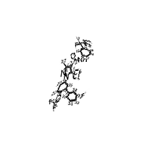 CCc1c(C(=O)Nc2cccc(C(C)(F)F)c2)c(C)nn1-c1ccc(OC(F)F)c(-c2ccccc2)c1